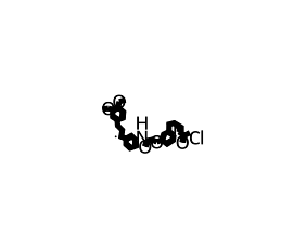 COc1ccc(CC[CH]c2cccc(NC(=O)COc3ccc4c(c3)CCCN4C(=O)CCl)c2)cc1OC